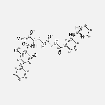 COC(=O)[C@H](CNC(=O)CNC(=O)c1cccc(NC2=NCCCN2)c1)NC(=O)c1c(Cl)cc(-c2ccccc2)cc1Cl